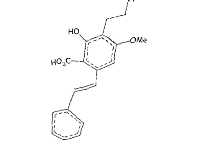 COc1cc(C=Cc2ccccc2)c(C(=O)O)c(O)c1CCC(C)C